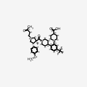 COc1ccc([C@@H]2CN(CCC(C)=O)C[C@@]2(F)C(=O)N2CCC(c3ccc(C(F)(F)F)cc3N3CCC(C(=O)O)CC3)CC2)cc1